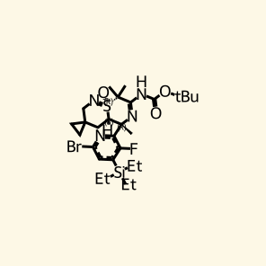 CC[Si](CC)(CC)c1cc(Br)nc([C@@]2(C)N=C(NC(=O)OC(C)(C)C)C(C)(C)[S@@]3(=O)=NCC4(CC4)C[C@@H]23)c1F